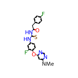 CNc1cc(Oc2ccc(NC(=S)NC(=O)Cc3ccc(F)cc3)cc2F)ncn1